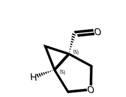 O=C[C@]12COC[C@H]1C2